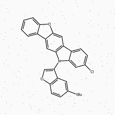 CC(C)(C)c1ccc2occ(-n3c4cc(Cl)ccc4c4cc5oc6ccccc6c5cc43)c2c1